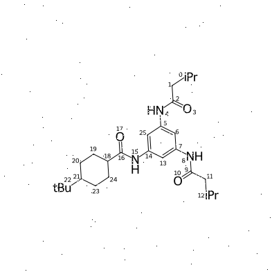 CC(C)CC(=O)Nc1cc(NC(=O)CC(C)C)cc(NC(=O)C2CCC(C(C)(C)C)CC2)c1